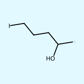 [CH2]C(O)CCCI